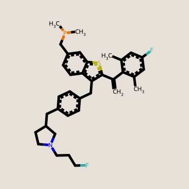 C=C(c1sc2cc(CP(C)C)ccc2c1Cc1ccc(CC2CCN(CCCF)C2)cc1)c1c(C)cc(F)cc1C